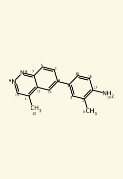 Cc1cc(-c2ccc3nncc(C)c3c2)ccc1N